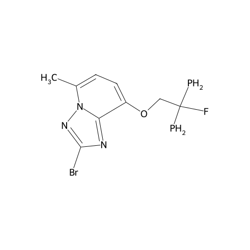 Cc1ccc(OCC(F)(P)P)c2nc(Br)nn12